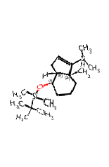 C[SiH](C)C1=CC[C@H]2[C@H](O[Si](C)(C)C(C)(C)C)CCC[C@@]12C